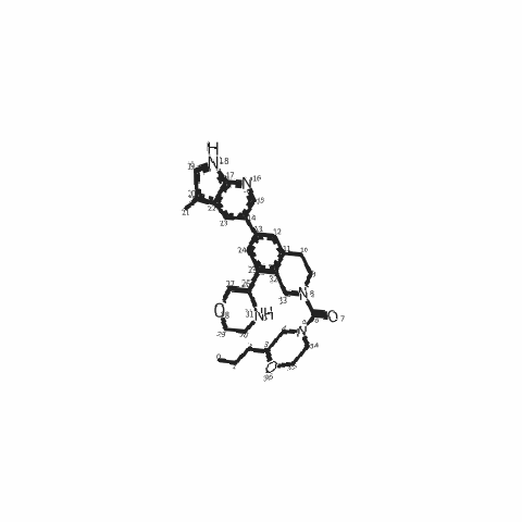 CCCC1CN(C(=O)N2CCc3cc(-c4cnc5[nH]cc(C)c5c4)cc(C4COCCN4)c3C2)CCO1